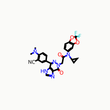 CN(C)c1ccc(-c2nn(CC(=O)N(c3ccc4c(c3)OC(F)(F)O4)C3CC3)c(=O)c3nc[nH]c23)cc1C#N